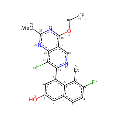 CCc1c(F)ccc2cc(O)cc(-c3ncc4c(OCC(F)(F)F)nc(OC)nc4c3F)c12